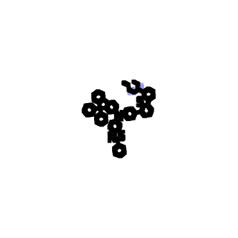 C=C/C=C\C(=C/C)c1cccc2c1sc1c(-c3ccc(N(c4ccc5c(c4)C(c4ccccc4)(c4ccccc4)c4ccccc4-5)c4ccc5nc(-c6ccccc6)sc5c4)cc3)cccc12